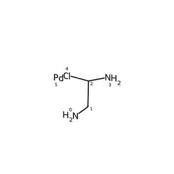 NCC(N)Cl.[Pd]